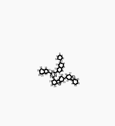 c1ccc(-c2ccc3ccc(-c4nc(-c5ccc6ccccc6c5)nc(-c5cccc6oc7cc(-c8ccc9oc%10ccccc%10c9c8)ccc7c56)n4)cc3c2)cc1